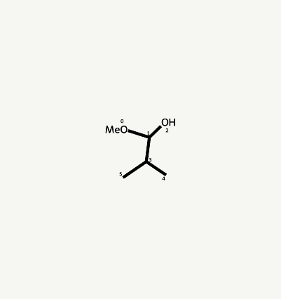 COC(O)C(C)C